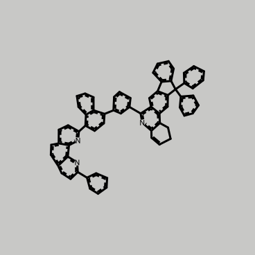 C1=Cc2nc(-c3cccc(-c4ccc(-c5ccc6ccc7ccc(-c8ccccc8)nc7c6n5)c5ccccc45)c3)c3cc4c(cc3c2CC1)C(c1ccccc1)(c1ccccc1)c1ccccc1-4